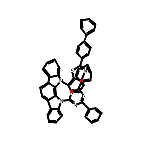 c1ccc(-c2ccc(-c3nc4cccc(-n5c6ccccc6c6ccc7c8ccccc8n(-c8nc(-c9ccccc9)nc(-c9ccccc9)n8)c7c65)c4s3)cc2)cc1